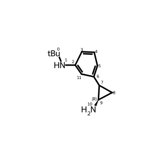 CC(C)(C)Nc1cccc(C2C[C@H]2N)c1